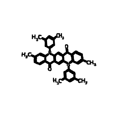 Cc1cc(C)cc(-n2c3cc(C)ccc3c(=O)c3cc4c(cc32)c(=O)c2ccc(C)cc2n4-c2cc(C)cc(C)c2)c1